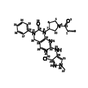 C=CC(=O)N1CCC(N2C(=O)N(c3ccccc3)Cc3cnc(Nc4cn(C)nc4Cl)nc32)C1